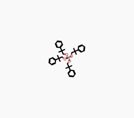 CC(C)(C[O][Hf]([O]CC(C)(C)c1ccccc1)([O]CC(C)(C)c1ccccc1)[O]CC(C)(C)c1ccccc1)c1ccccc1